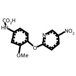 COc1cc(NC(=O)O)ccc1Oc1ccc([N+](=O)[O-])cn1